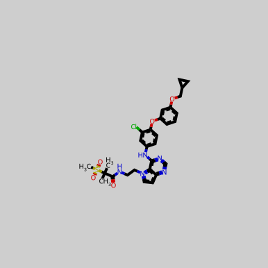 CC(C)(C(=O)NCCn1ccc2ncnc(Nc3ccc(Oc4cccc(OCC5CC5)c4)c(Cl)c3)c21)S(C)(=O)=O